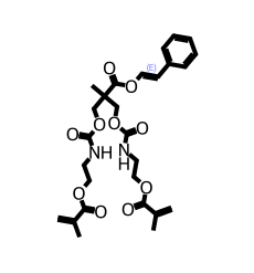 C=C(C)C(=O)OCCNC(=O)OCC(C)(COC(=O)NCCOC(=O)C(=C)C)C(=O)O/C=C/c1ccccc1